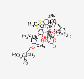 CC(C)(Sc1cc(C(C)(C)C)c(O)c(C(C)(C)C)c1)Sc1cc(C(C)(C)C)c(O)c(C(C)(C)C)c1.CC[C@H](C)C(=O)O[C@H]1C[C@@H](C)C=C2C=C[C@H](C)[C@H](CC[C@@H]3C[C@@H](O)CC(=O)O3)[C@H]21.Cc1ccc(C)c(OCCCC(C)(C)C(=O)O)c1